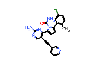 Cc1ccc(Cl)cc1-c1ccc(-c2nc(N)ncc2C#Cc2cccnc2)n1C(N)=O